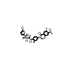 CNc1cc2c(cc1F)C(=O)N(c1ccc(NC(=O)NS(=O)(=O)c3ccc(Cl)s3)c(C)c1)CO2